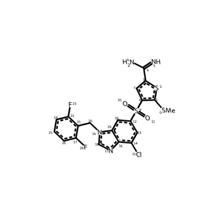 CSc1sc(C(=N)N)cc1S(=O)(=O)c1cc(Cl)c2ncn(Cc3c(F)cccc3F)c2c1